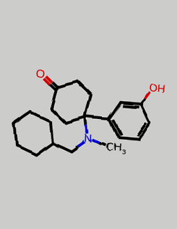 CN(CC1CCCCC1)C1(c2cccc(O)c2)CCC(=O)CC1